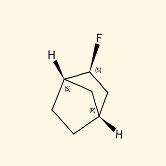 F[C@H]1C[C@@H]2CC[C@H]1C2